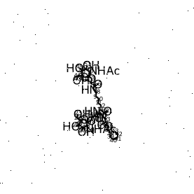 CC(=O)NC1C(OCC(=O)NCCCCC[C@H](NC(=O)COC2OC(CO)C(O)C(O)C2NC(C)=O)C(=O)NCC(=O)OCc2ccccc2)OC(CO)C(O)C1O